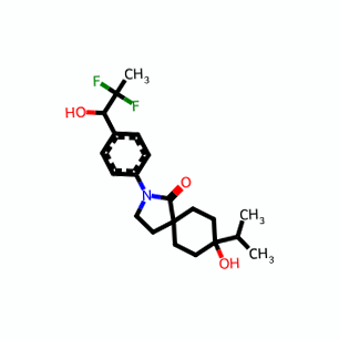 CC(C)C1(O)CCC2(CCN(c3ccc(C(O)C(C)(F)F)cc3)C2=O)CC1